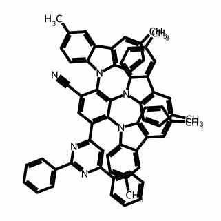 Cc1ccc2c(c1)c1cc(C)ccc1n2-c1c(C#N)cc(-c2cc(-c3ccccc3)nc(-c3ccccc3)n2)c(-n2c3ccc(C)cc3c3cc(C)ccc32)c1-n1c2ccc(C)cc2c2cc(C)ccc21